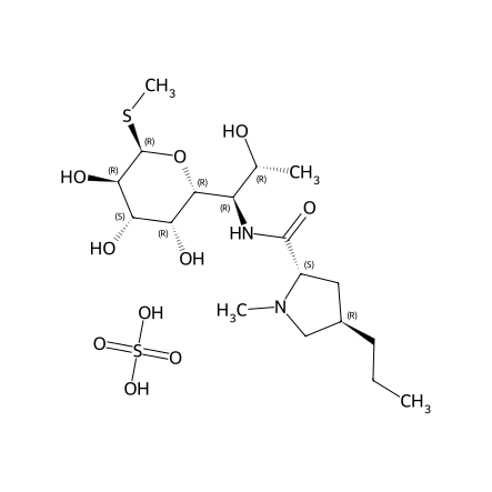 CCC[C@@H]1C[C@@H](C(=O)N[C@@H]([C@H]2O[C@H](SC)[C@H](O)[C@@H](O)[C@H]2O)[C@@H](C)O)N(C)C1.O=S(=O)(O)O